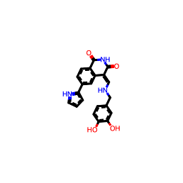 O=C1NC(=O)c2ccc(-c3ccc[nH]3)cc2/C1=C\NCc1ccc(O)c(O)c1